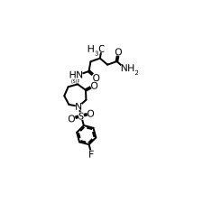 CC(CC(N)=O)CC(=O)N[C@H]1CCCN(S(=O)(=O)c2ccc(F)cc2)CC1=O